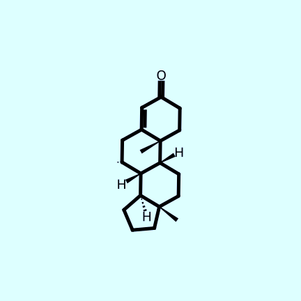 C[C@@]12CCC[C@H]1[C@@H]1[CH]CC3=CC(=O)CC[C@]3(C)[C@@H]1CC2